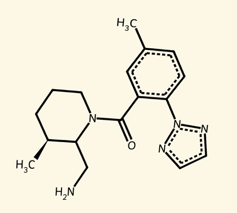 Cc1ccc(-n2nccn2)c(C(=O)N2CCC[C@H](C)C2CN)c1